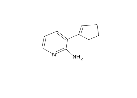 Nc1ncccc1C1=CCCC1